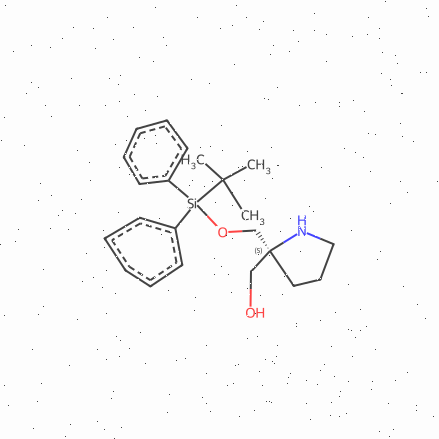 CC(C)(C)[Si](OC[C@@]1(CO)CCCN1)(c1ccccc1)c1ccccc1